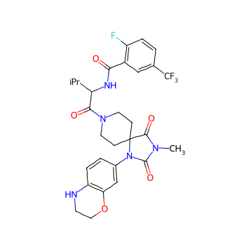 CC(C)C(NC(=O)c1cc(C(F)(F)F)ccc1F)C(=O)N1CCC2(CC1)C(=O)N(C)C(=O)N2c1ccc2c(c1)OCCN2